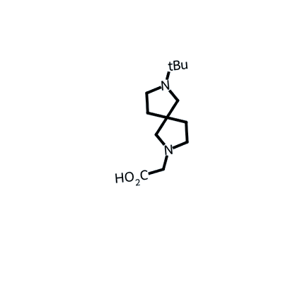 CC(C)(C)N1CCC2(CCN(CC(=O)O)C2)C1